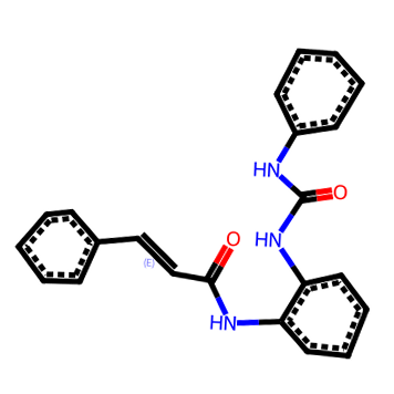 O=C(/C=C/c1ccccc1)Nc1ccccc1NC(=O)Nc1ccccc1